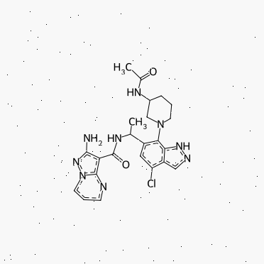 CC(=O)NC1CCCN(c2c(C(C)NC(=O)c3c(N)nn4cccnc34)cc(Cl)c3cn[nH]c23)C1